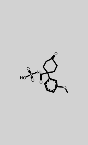 COc1cccc(C2(C(=O)NS(=O)(=O)O)CCC(=O)CC2)c1